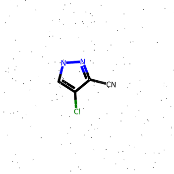 N#CC1=N[N]C=C1Cl